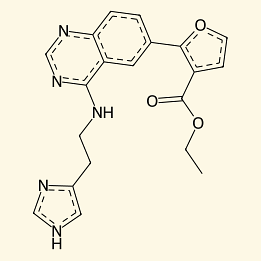 CCOC(=O)c1ccoc1-c1ccc2ncnc(NCCc3c[nH]cn3)c2c1